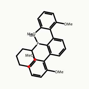 COc1cccc(OC)c1-c1cccc(-c2c(OC)cccc2OC)c1P(C1CCCCC1)C(C)(C)C